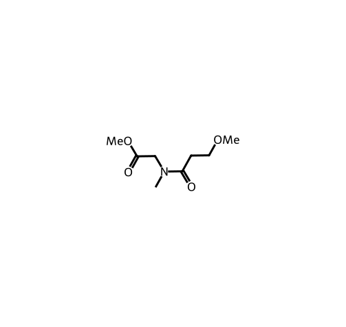 COCCC(=O)N(C)CC(=O)OC